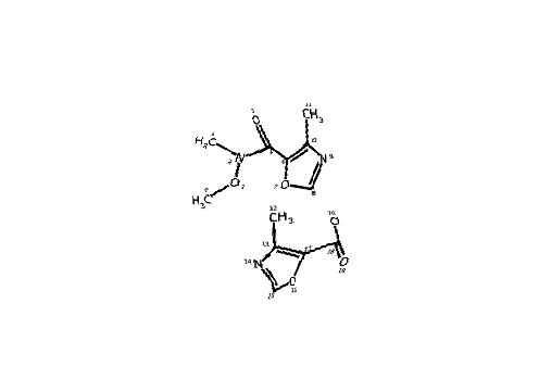 CON(C)C(=O)c1ocnc1C.Cc1ncoc1C(=O)Cl